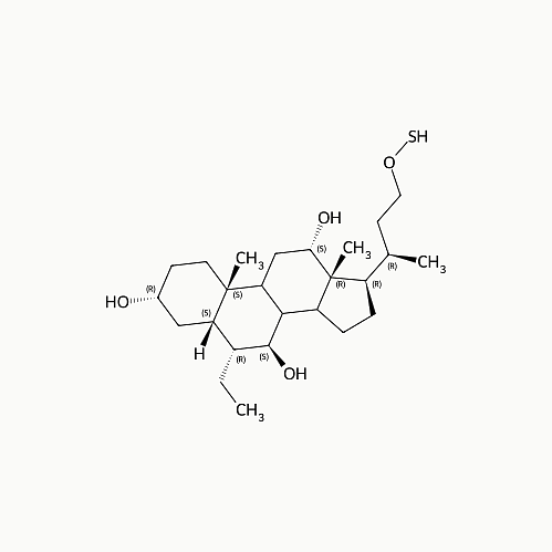 CC[C@H]1[C@H](O)C2C3CC[C@H]([C@H](C)CCOS)[C@@]3(C)[C@@H](O)CC2[C@@]2(C)CC[C@@H](O)C[C@@H]12